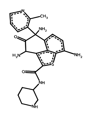 Cc1ncccc1C1(N)C(=O)C(N)c2c(C(=O)NC3CCCNC3)sc3c(N)ccc1c23